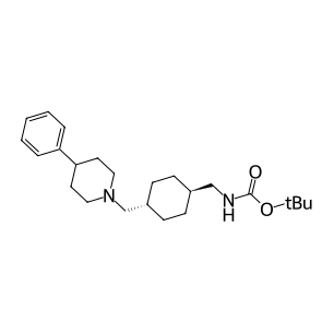 CC(C)(C)OC(=O)NC[C@H]1CC[C@H](CN2CCC(c3ccccc3)CC2)CC1